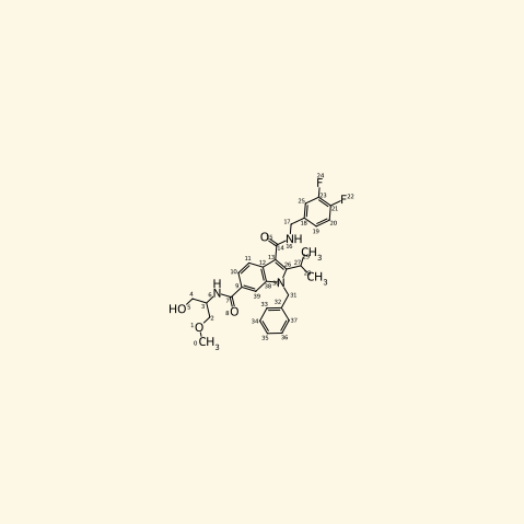 COCC(CO)NC(=O)c1ccc2c(C(=O)NCc3ccc(F)c(F)c3)c(C(C)C)n(Cc3ccccc3)c2c1